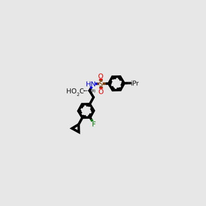 CC(C)c1ccc(S(=O)(=O)N[C@H](Cc2ccc(C3CC3)c(F)c2)C(=O)O)cc1